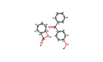 COc1ccc(C(=O)c2ccccc2)cc1.O=C1Oc2ccccc21